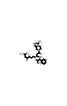 C=C(F)/C=C(/F)[C@@H](F)CCC[C@H](CC(=O)N1CCN2C(=NN[C@H]2C(F)(F)F)C1)N[C@H](C(N)=O)c1ccccc1